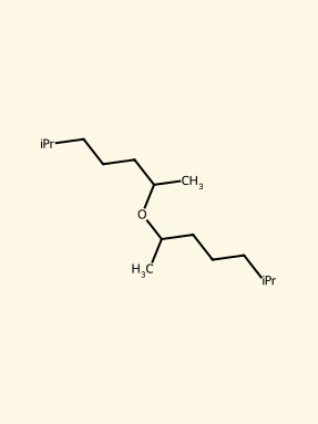 CC(C)CCCC(C)OC(C)CCCC(C)C